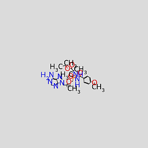 COc1ccc(C(=O)NP(=O)(CO[C@@H](C)Cn2cnc3c(N)ncnc32)NC(C)(C)C(=O)OC(C)C)cc1